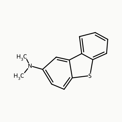 CN(C)c1ccc2sc3ccccc3c2c1